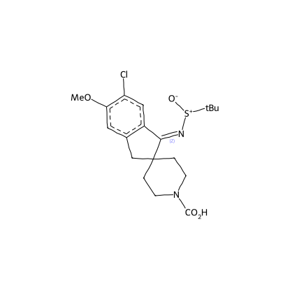 COc1cc2c(cc1Cl)/C(=N\[S+]([O-])C(C)(C)C)C1(CCN(C(=O)O)CC1)C2